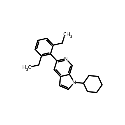 CCc1cccc(CC)c1-c1cc2ccn(C3CCCCC3)c2cn1